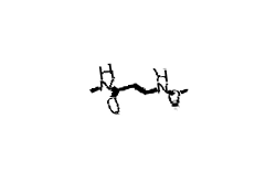 CNC(=O)CCNOC